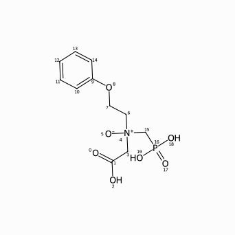 O=C(O)C[N+]([O-])(CCOc1ccccc1)CP(=O)(O)O